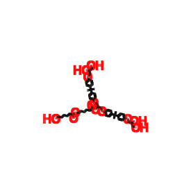 CC(C)(c1ccc(OCC(O)CO)cc1)c1ccc(OCC(COc2ccc(C(C)(C)c3ccc(OCC(O)CO)cc3)cc2)OC(=O)CCCCCOC(=O)CCCCCO)cc1